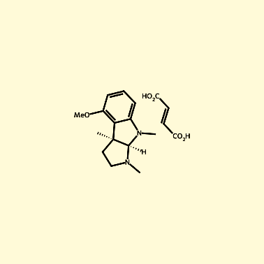 COc1cccc2c1[C@]1(C)CCN(C)[C@@H]1N2C.O=C(O)/C=C/C(=O)O